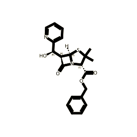 CC1(C)S[C@@H]2[C@H]([C@@H](O)c3ccccn3)C(=O)N2[C@H]1C(=O)OCc1ccccc1